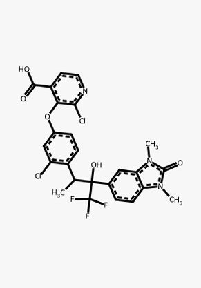 CC(c1ccc(Oc2c(C(=O)O)ccnc2Cl)cc1Cl)C(O)(c1ccc2c(c1)n(C)c(=O)n2C)C(F)(F)F